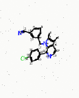 Cc1c(C)n(Cc2cccc(C#N)c2)c2c(-c3ccc(Cl)cc3)nccc12